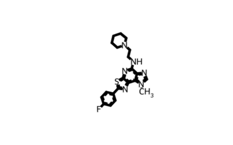 Cn1cnc2c(NCCN3CCCCC3)nc3sc(-c4ccc(F)cc4)nc3c21